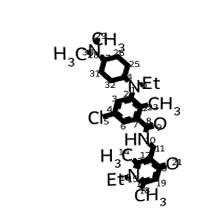 CCN(c1cc(Cl)cc(C(=O)NCc2c(C)n(CC)c(C)cc2=O)c1C)C1CCC(N(C)C)CC1